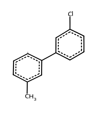 Cc1cc[c]c(-c2cccc(Cl)c2)c1